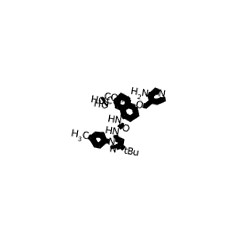 Cc1ccc(-n2nc(C(C)(C)C)cc2NC(=O)Nc2ccc(OCc3ccncc3N)c3ccccc23)cc1.O=C(O)O.O=C(O)O